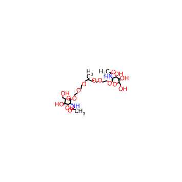 CC(=O)NC1C(O)[C@@H](O)C(CO)O[C@H]1OCCOCCOCC(C)COCOCCO[C@@H]1OC(CO)[C@H](O)C(O)C1NC(C)=O